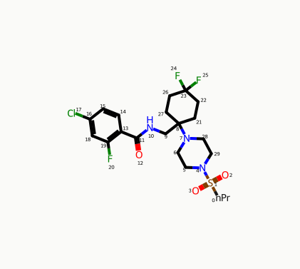 CCCS(=O)(=O)N1CCN(C2(CNC(=O)c3ccc(Cl)cc3F)CCC(F)(F)CC2)CC1